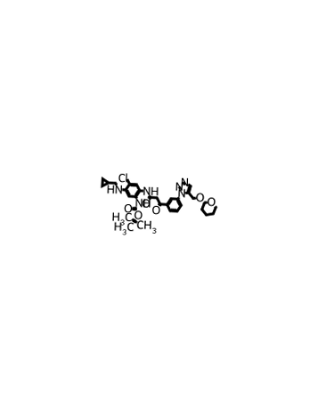 CC(C)(C)OC(=O)Nc1cc(NCC2CC2)c(Cl)cc1NC(=O)CC(=O)c1cccc(-n2nncc2COC2CCCCO2)c1